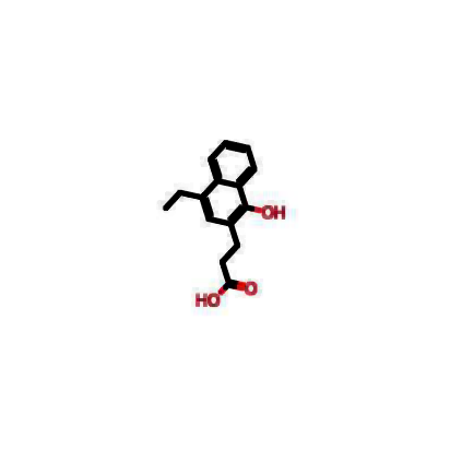 CCc1cc(CCC(=O)O)c(O)c2ccccc12